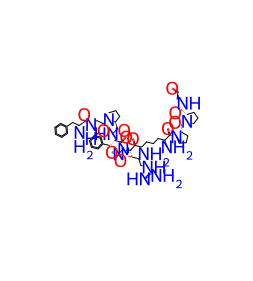 N=C(N)NCCC[C@@H](C(=O)C(N)CCC[C@H](N)C(=O)N1CCC[C@H]1C(=O)N1CCC[C@H]1C(=O)NC[C]=O)N(C(=O)[C@H](Cc1ccccc1)NC(=O)[C@@H]1CCCN1C(=O)CNC(=O)[C@@H](N)Cc1ccccc1)[N+](=O)[O-]